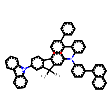 CC1(C)c2cc(N(c3cccc(-c4cccc5ccccc45)c3)c3ccccc3-c3ccccc3-c3ccccc3)ccc2-c2ccc(-n3c4ccccc4c4ccccc43)cc21